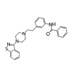 O=C(Nc1cccc(CCN2CCN(c3nsc4ccccc34)CC2)c1)c1ccccc1